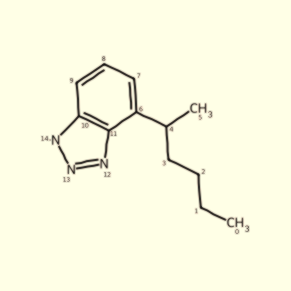 CCCCC(C)c1cccc2c1N=N[N]2